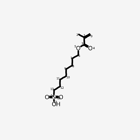 C=C(C)C(=O)OCCCCCCCCS(=O)(=O)O